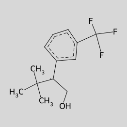 CC(C)(C)[C](CO)c1cccc(C(F)(F)F)c1